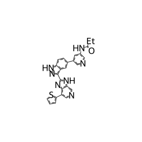 CCC(=O)Nc1cncc(-c2ccc3[nH]nc(-c4nc5c(-c6cccs6)cncc5[nH]4)c3c2)c1